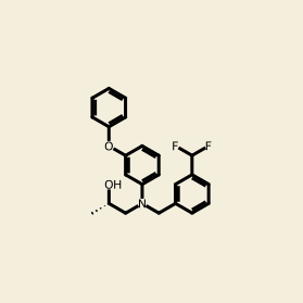 C[C@H](O)CN(Cc1cccc(C(F)F)c1)c1cccc(Oc2ccccc2)c1